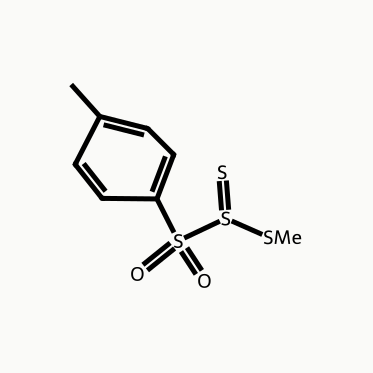 CSS(=S)S(=O)(=O)c1ccc(C)cc1